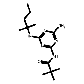 CCCC(C)(C)Nc1nc(N)nc(NC(=O)C(C)(C)C)n1